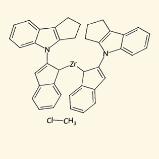 C1=C(n2c3c(c4ccccc42)CCC3)[CH]([Zr][CH]2C(n3c4c(c5ccccc53)CCC4)=Cc3ccccc32)c2ccccc21.CCl